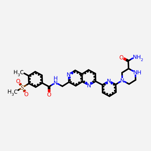 Cc1ccc(C(=O)NCc2cc3nc(-c4cccc(N5CCNC(C(N)=O)C5)n4)ccc3cn2)cc1S(C)(=O)=O